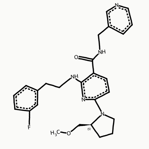 COC[C@@H]1CCCN1c1ccc(C(=O)NCc2cccnc2)c(NCCc2cccc(F)c2)n1